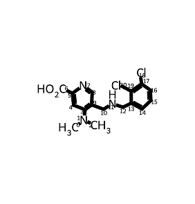 CN(C)c1cc(C(=O)O)ncc1CNCc1cccc(Cl)c1Cl